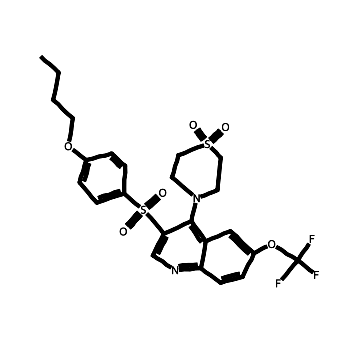 CCCCOc1ccc(S(=O)(=O)c2cnc3ccc(OC(F)(F)F)cc3c2N2CCS(=O)(=O)CC2)cc1